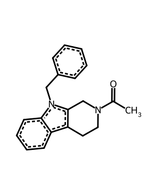 CC(=O)N1CCc2c(n(Cc3ccccc3)c3ccccc23)C1